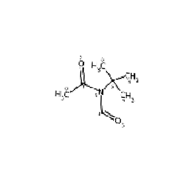 CC(=O)N(C=O)C(C)(C)C